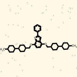 CC1CCC(C2CCC(COc3ccc(OCC4CCC(C5CCC(C)CC5)CC4)c4sc(-c5ccccc5)cc34)CC2)CC1